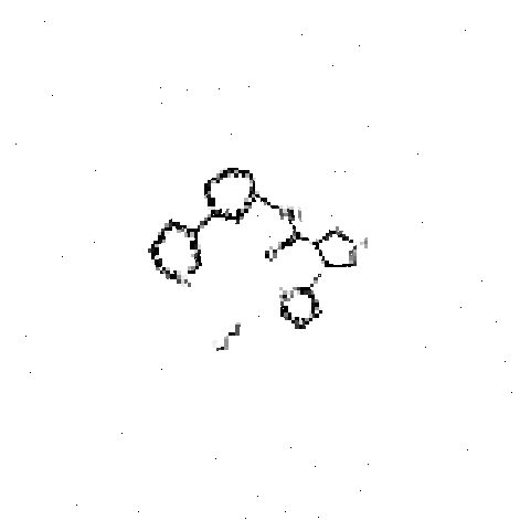 Cl.Cl.O=C(Nc1cccc(-c2cccnc2)c1)[C@H]1CNC[C@@H]1c1cccs1